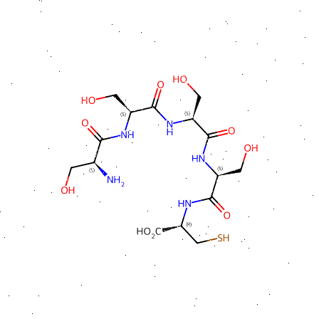 N[C@@H](CO)C(=O)N[C@@H](CO)C(=O)N[C@@H](CO)C(=O)N[C@@H](CO)C(=O)N[C@@H](CS)C(=O)O